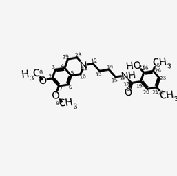 COc1cc2c(cc1OC)CN(CCCCNC(=O)c1cc(C)cc(C)c1O)CC2